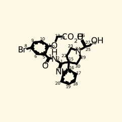 N=C(NC(=O)c1cc(Br)ccc1OCC(=O)O)C1(c2ccccc2)CCN(C(=O)CO)CC1